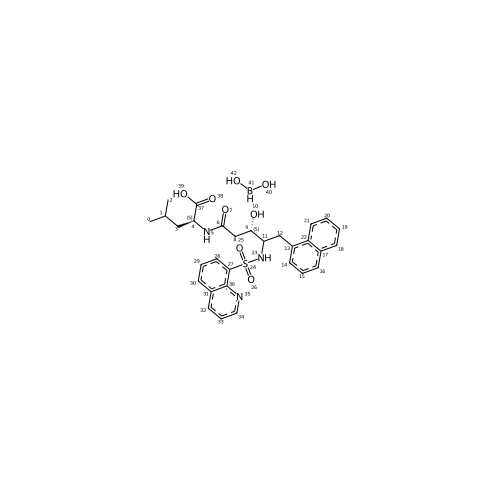 CC(C)C[C@H](NC(=O)C[C@H](O)C(Cc1cccc2ccccc12)NS(=O)(=O)c1cccc2cccnc12)C(=O)O.OBO